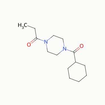 CCC(=O)N1CCN(C(=O)C2CCCCC2)CC1